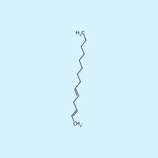 [CH2]C=CCC=CCCCCCCC[CH2]